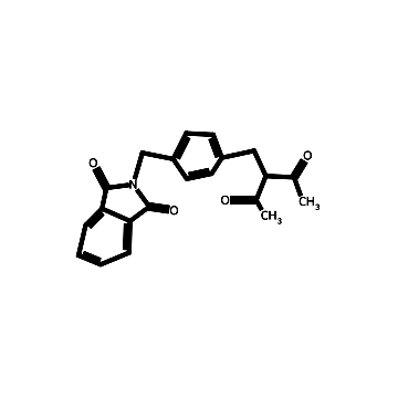 CC(=O)C(Cc1ccc(CN2C(=O)c3ccccc3C2=O)cc1)C(C)=O